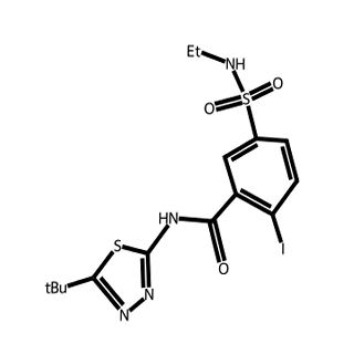 CCNS(=O)(=O)c1ccc(I)c(C(=O)Nc2nnc(C(C)(C)C)s2)c1